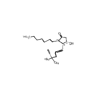 C#CC(O)(CC=C[C@H]1[C@@H](O)CC(=O)[C@@H]1CCCCCCC(=O)O)CCCC